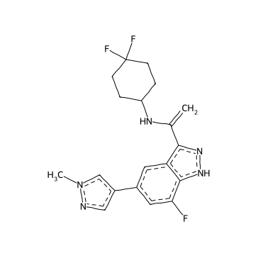 C=C(NC1CCC(F)(F)CC1)c1n[nH]c2c(F)cc(-c3cnn(C)c3)cc12